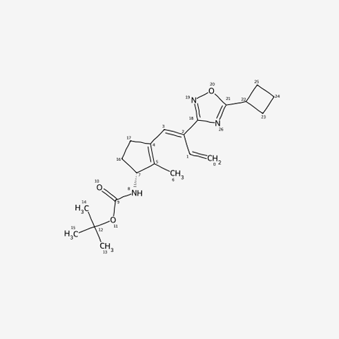 C=C/C(=C\C1=C(C)[C@H](NC(=O)OC(C)(C)C)CC1)c1noc(C2CCC2)n1